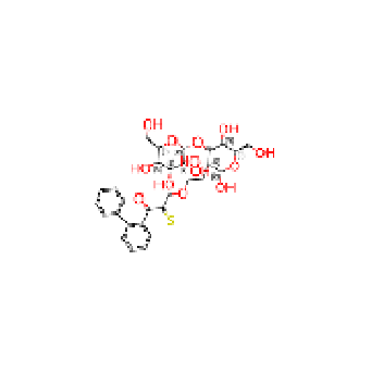 O=C(C(=S)COCC[C@]1(O)[C@H](O)O[C@H](CO)[C@H](O)[C@@H]1O[C@H]1O[C@H](CO)[C@H](O)[C@H](O)[C@H]1O)c1ccccc1-c1ccccc1